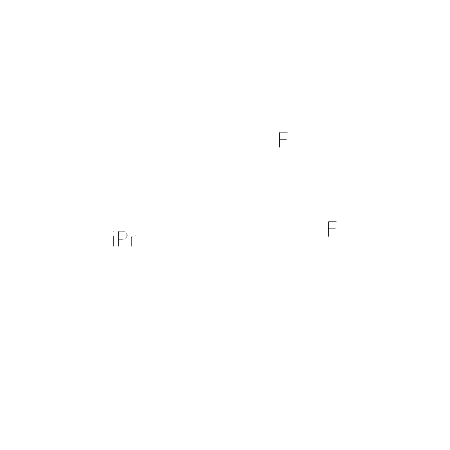 CC(C)C(C)C(CF)CF